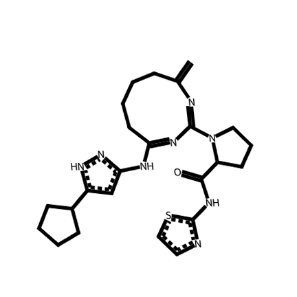 C=C1CCCC/C(Nc2cc(C3CCCC3)[nH]n2)=N\C(N2CCCC2C(=O)Nc2nccs2)=N/1